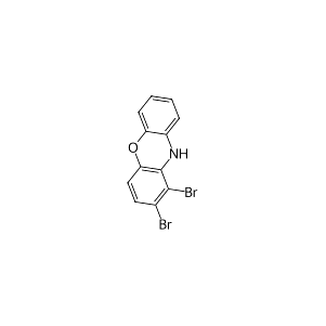 Brc1ccc2c(c1Br)Nc1ccccc1O2